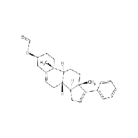 C[C@]12CC[C@H](OC=O)CC1=CC[C@@H]1[C@@H]2CC[C@]2(C)C(c3ccccc3)=CC[C@@H]12